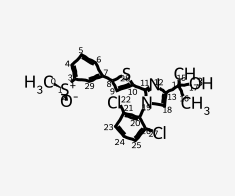 C[S@+]([O-])c1cccc(C2C=C(c3nc(C(C)(C)O)cn3-c3c(Cl)cccc3Cl)S2)c1